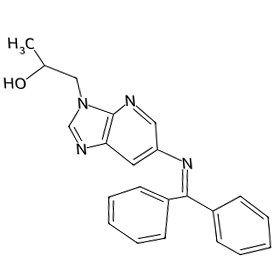 CC(O)Cn1cnc2cc(N=C(c3ccccc3)c3ccccc3)cnc21